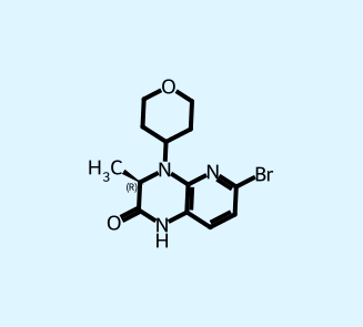 C[C@@H]1C(=O)Nc2ccc(Br)nc2N1C1CCOCC1